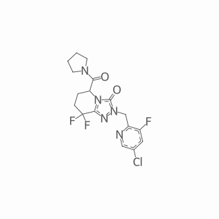 O=C(C1CCC(F)(F)c2nn(Cc3ncc(Cl)cc3F)c(=O)n21)N1CCCC1